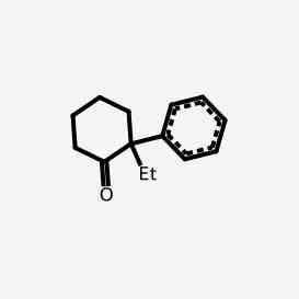 CCC1(c2ccccc2)CCCCC1=O